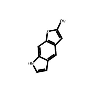 Oc1cc2cc3cc[nH]c3cc2s1